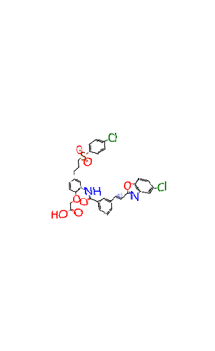 O=C(O)COc1ccc(CCCS(=O)(=O)c2ccc(Cl)cc2)cc1NC(=O)c1cccc(/C=C/c2nc3cc(Cl)ccc3o2)c1